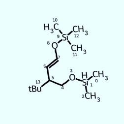 C[SiH](C)OCC(C=CO[Si](C)(C)C)C(C)(C)C